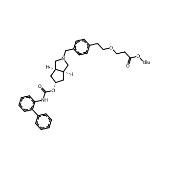 CC(C)(C)OC(=O)CCOCCc1ccc(CN2C[C@H]3C[C@H](OC(=O)Nc4ccccc4-c4ccccc4)C[C@H]3C2)cc1